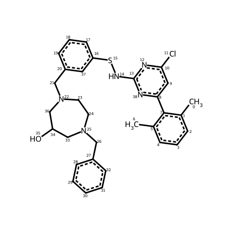 Cc1cccc(C)c1-c1cc(Cl)nc(NSc2cccc(CN3CCN(Cc4ccccc4)CC(O)C3)c2)n1